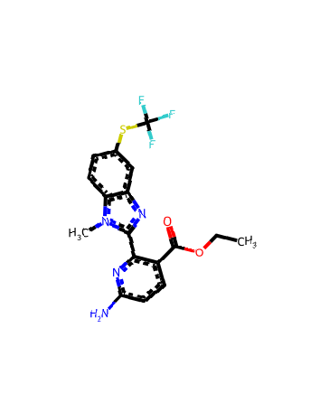 CCOC(=O)c1ccc(N)nc1-c1nc2cc(SC(F)(F)F)ccc2n1C